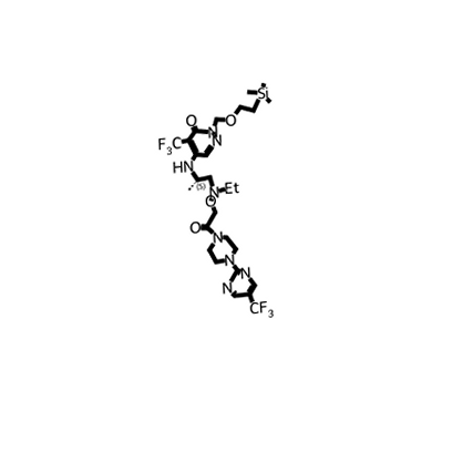 CCN(C[C@H](C)Nc1cnn(COCC[Si](C)(C)C)c(=O)c1C(F)(F)F)OCC(=O)N1CCN(c2ncc(C(F)(F)F)cn2)CC1